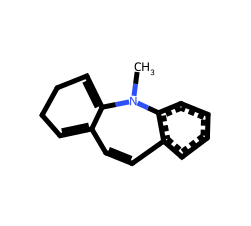 CN1C2=CCCC=C2C=Cc2ccccc21